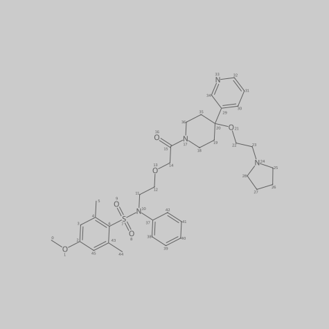 COc1cc(C)c(S(=O)(=O)N(CCOCC(=O)N2CCC(OCCN3CCCC3)(c3cccnc3)CC2)c2ccccc2)c(C)c1